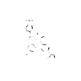 COc1ccc(C(=O)C2C(=O)C(=O)N(c3ccc(-c4ccon4)cc3)C2c2ccc(F)cc2)cc1